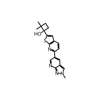 Cn1cc2cc(-c3ccc4cc([C@@]5(O)CCC5(C)C)sc4n3)cnc2n1